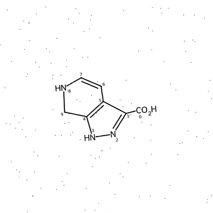 O=C(O)c1n[nH]c2c1C=CNC2